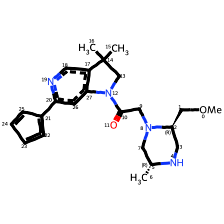 COC[C@H]1CN[C@H](C)CN1CC(=O)N1CC(C)(C)c2cnc(C3=C=CC=C3)cc21